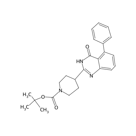 CC(C)(C)OC(=O)N1CCC(c2nc3cccc(-c4ccccc4)c3c(=O)[nH]2)CC1